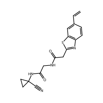 C=Cc1ccc2nc(CC(=O)NCC(=O)NC3(C#N)CC3)sc2c1